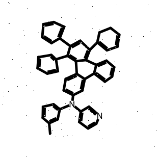 Cc1cccc(N(c2cccnc2)c2ccc3c(c2)c2ccccc2c2c(C4=CC=CCC4)cc(-c4ccccc4)c(-c4ccccc4)c32)c1